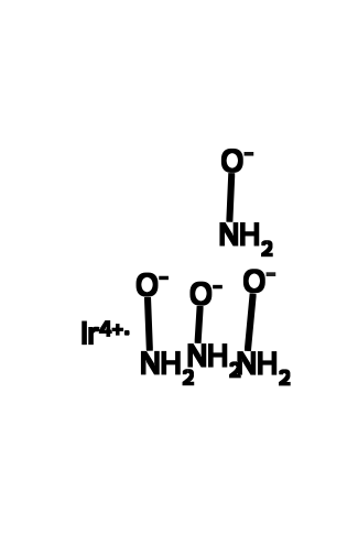 N[O-].N[O-].N[O-].N[O-].[Ir+4]